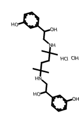 CC(C)(CCC(C)(C)NCC(O)c1cccc(O)c1)NCC(O)c1cccc(O)c1.Cl.Cl